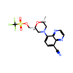 C[C@@H]1CN(c2ccc(C#N)c3nccnc23)C[C@H](COS(=O)(=O)C(F)(F)F)O1